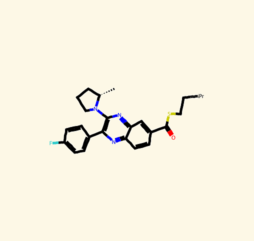 CC(C)CCSC(=O)c1ccc2nc(-c3ccc(F)cc3)c(N3CCC[C@@H]3C)nc2c1